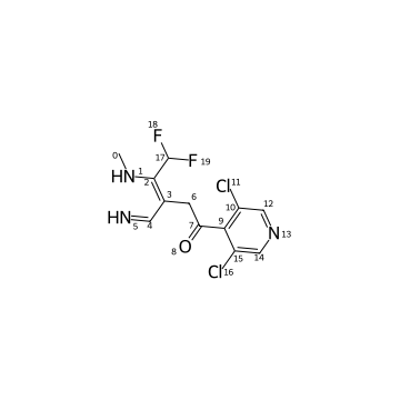 CN/C(=C(\C=N)CC(=O)c1c(Cl)cncc1Cl)C(F)F